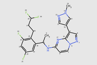 CC(Nc1ccn2ncc(-c3cnn(C)c3)c2n1)c1cc(F)cc(F)c1CCC(F)F